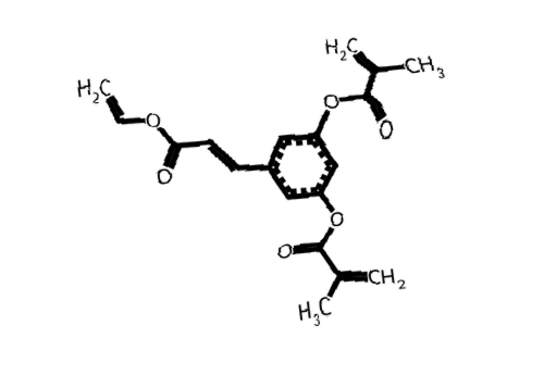 C=COC(=O)C=Cc1cc(OC(=O)C(=C)C)cc(OC(=O)C(=C)C)c1